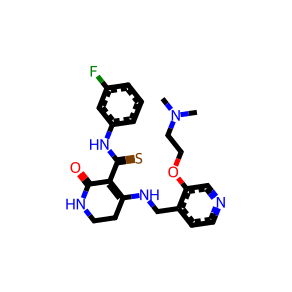 CN(C)CCOc1cnccc1CNC1=C(C(=S)Nc2cccc(F)c2)C(=O)NCC1